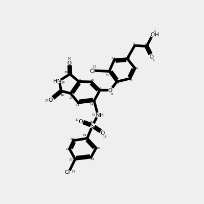 O=C(O)Cc1ccc(Oc2cc3c(cc2NS(=O)(=O)c2ccc(Cl)cc2)C(=O)NC3=O)c(Cl)c1